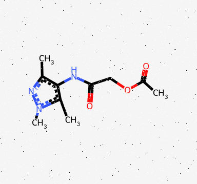 CC(=O)OCC(=O)Nc1c(C)nn(C)c1C